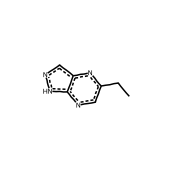 CCc1cnc2[nH]ncc2n1